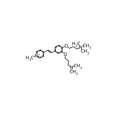 CN(C)CCCOc1cc(/C=C/c2cc[n+](C)cc2)ccc1OCCC[N+](C)(C)C